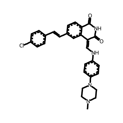 CN1CCN(c2ccc(NC=C3C(=O)NC(=O)c4ccc(C=Cc5ccc(Cl)cc5)cc43)cc2)CC1